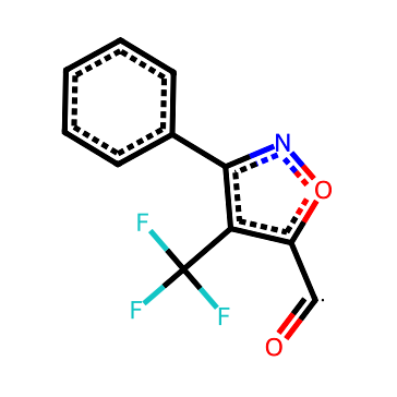 O=[C]c1onc(-c2ccccc2)c1C(F)(F)F